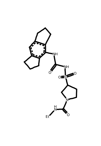 CCNC(=O)N1CCC(S(=O)(=O)NC(=O)Nc2c3c(cc4c2CCC4)CCC3)C1